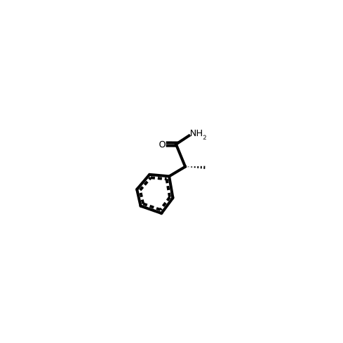 C[C@@H](C(N)=O)c1ccccc1